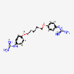 N=C(N)Nc1ccc(OCCCCCOc2ccc(NC(=N)N)cc2)cc1